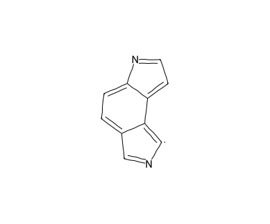 [C]1=c2c(ccc3c2=CC=N3)C=N1